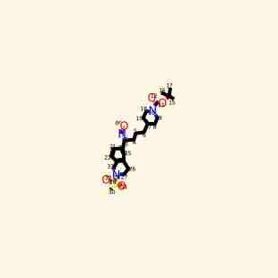 CO/N=C(\CCCC1CCN(C(=O)OC(C)(C)C)CC1)c1ccc2c(c1)CCN(S(C)(=O)=O)C2